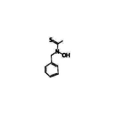 CC(=S)N(O)Cc1ccccc1